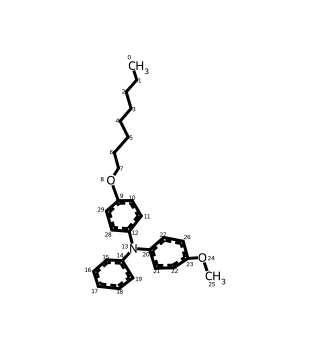 CCCCCCCCOc1ccc(N(c2ccccc2)c2ccc(OC)cc2)cc1